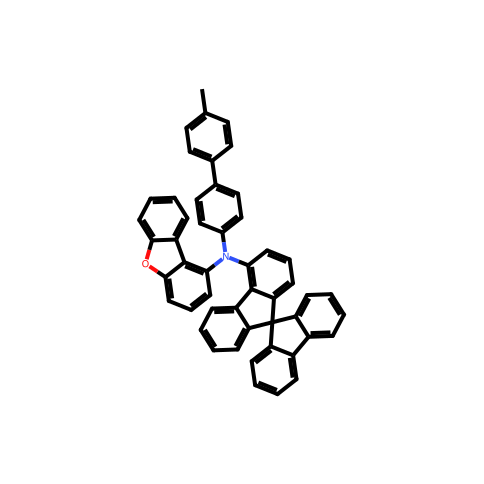 Cc1ccc(-c2ccc(N(c3cccc4c3-c3ccccc3C43c4ccccc4-c4ccccc43)c3cccc4oc5ccccc5c34)cc2)cc1